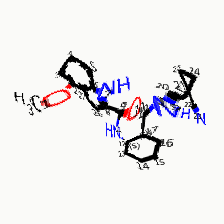 COc1cccc2[nH]c(C(=O)N[C@H]3CCCC[C@@H]3CNCC3(C#N)CC3)cc12